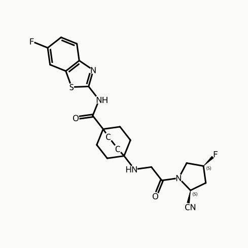 N#C[C@@H]1C[C@H](F)CN1C(=O)CNC12CCC(C(=O)Nc3nc4ccc(F)cc4s3)(CC1)CC2